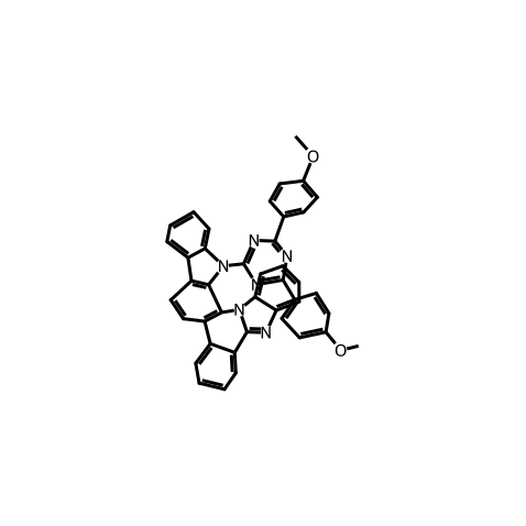 COc1ccc(-c2nc(-c3ccc(OC)cc3)nc(-n3c4ccccc4c4ccc5c6ccccc6c6nc7ccccc7n6c5c43)n2)cc1